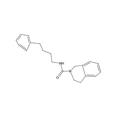 O=C(NCCCCc1ccccc1)N1CCc2ccccc2C1